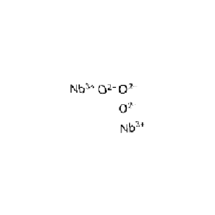 [Nb+3].[Nb+3].[O-2].[O-2].[O-2]